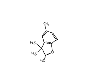 Cc1ccc2c(c1)C(C)(C)C(O)O2